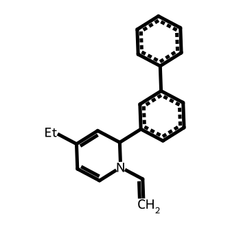 C=CN1C=CC(CC)=CC1c1cccc(-c2ccccc2)c1